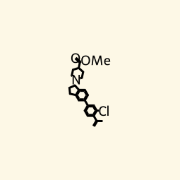 C=C(C)c1ccc(-c2ccc3c(c2)CCC3N2CCC(C(=O)OC)CC2)cc1Cl